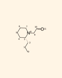 CCC[C@@H]1CCCCN1CC=O